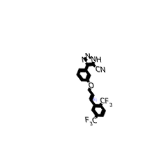 N#Cc1[nH]nnc1-c1cccc(OC/C=C/c2cc(C(F)(F)F)ccc2C(F)(F)F)c1